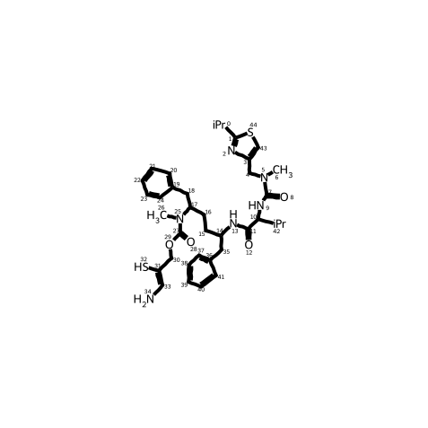 CC(C)c1nc(CN(C)C(=O)NC(C(=O)NC(CCC(Cc2ccccc2)N(C)C(=O)OC/C(S)=C/N)Cc2ccccc2)C(C)C)cs1